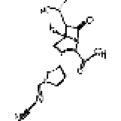 C[C@@H](O)[C@H]1C(=O)N2C(C(=O)O)=C([C@@H]3CCN(/C=N/C#N)C3)C[C@H]12